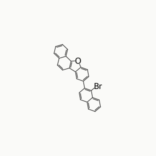 Brc1c(-c2ccc3oc4c5ccccc5ccc4c3c2)ccc2ccccc12